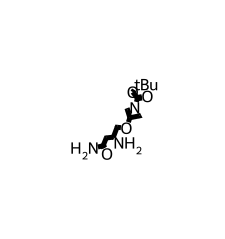 CC(C)(C)OC(=O)N1CC(OCC(N)CC(N)=O)C1